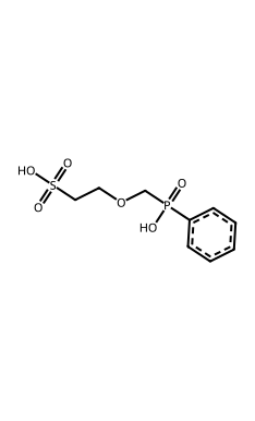 O=P(O)(COCCS(=O)(=O)O)c1ccccc1